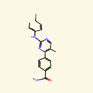 C/C=C(\C=C/CC)Nc1ncc(C)c(-c2ccc(C(N)=O)cc2)n1